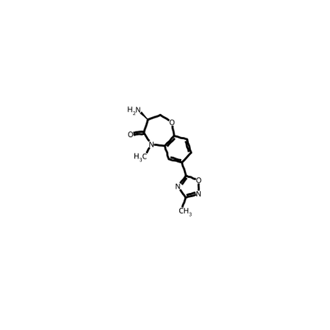 Cc1noc(-c2ccc3c(c2)N(C)C(=O)[C@@H](N)CO3)n1